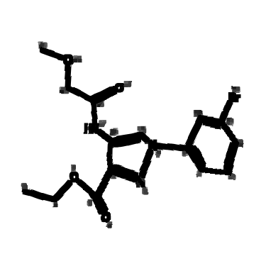 CCOC(=O)c1nn(-c2cccc(Br)c2)cc1NC(=O)COC